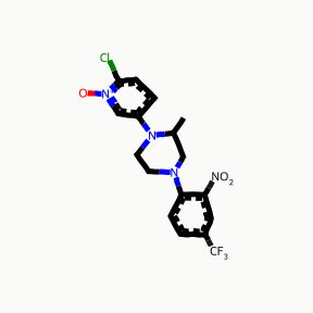 CC1CN(c2ccc(C(F)(F)F)cc2[N+](=O)[O-])CCN1c1ccc(Cl)[n+]([O-])c1